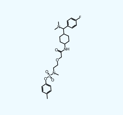 Cc1ccc(OS(=O)(=O)N(C)CCOCC(=O)NC2CCC(C(c3ccc(F)cc3)N(C)C)CC2)cc1